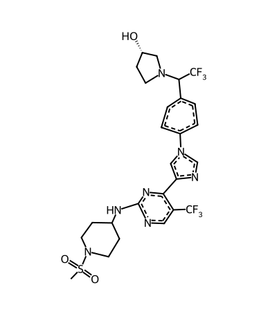 CS(=O)(=O)N1CCC(Nc2ncc(C(F)(F)F)c(-c3cn(-c4ccc(C(N5CC[C@H](O)C5)C(F)(F)F)cc4)cn3)n2)CC1